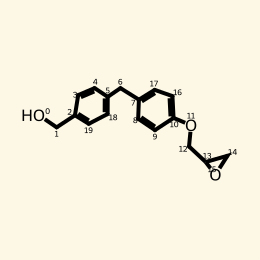 OCc1ccc(Cc2ccc(OCC3CO3)cc2)cc1